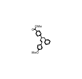 COC(=O)c1ccc(C(C=Cc2ccc(OC)cc2)Cc2ccccc2)cc1